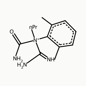 CCC[N+](C(=N)N)(C(N)=O)c1c(C)cccc1C